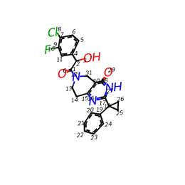 O=C(C(O)c1ccc(Cl)c(F)c1)N1CCc2nc(C3(c4ccccc4)CC3)[nH]c(=O)c2C1